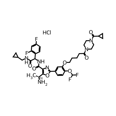 C[C@H](N)c1oc(-c2ccc(OC(F)F)c(OCCCCC(=O)N3CCN(C(=O)C4CC4)CC3)c2)nc1C(=O)NC(C(=O)NCC1CC1)c1ccc(F)cc1F.Cl